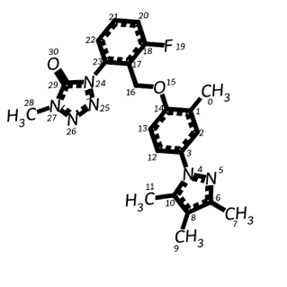 Cc1cc(-n2nc(C)c(C)c2C)ccc1OCc1c(F)cccc1-n1nnn(C)c1=O